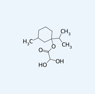 CC1CCCC(OC(=O)C(O)O)(C(C)C)C1